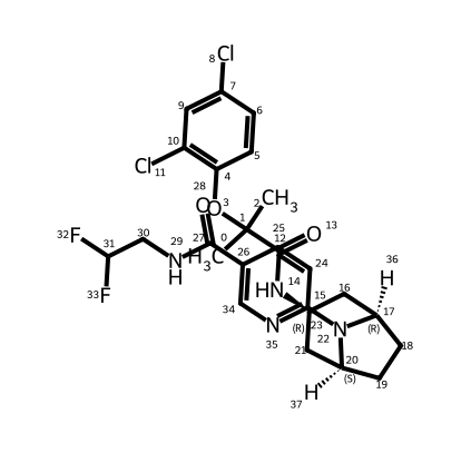 CC(C)(Oc1ccc(Cl)cc1Cl)C(=O)N[C@H]1C[C@H]2CC[C@@H](C1)N2c1ccc(C(=O)NCC(F)F)cn1